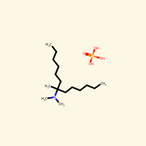 CCCCCCC(C)(CCCCCC)N(C)C.O=P(O)(O)O